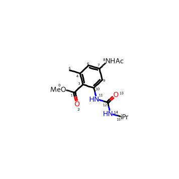 COC(=O)c1c(C)cc(NC(C)=O)cc1NC(=O)NC(C)C